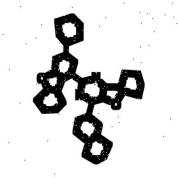 c1ccc(-c2cc(-c3nc(-c4ccc5ccccc5c4)c4oc5ccccc5c4n3)c3c(c2)oc2ccccc23)cc1